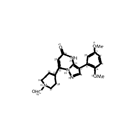 COc1ccc(OC)c(-c2cnn3c(C4CCN(C=O)CC4)cc(=O)[nH]c23)c1